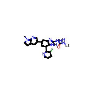 CCNC(=O)Nc1nc2cc(-c3cnc4c(ccn4C)c3)cc(-c3ncccc3F)c2[nH]1